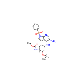 CC(C)(C)OC(=O)N[C@]1(C)CC[C@H](Nc2c(N)cnc3c2ccn3S(=O)(=O)c2ccccc2)C[C@H]1O[Si](C)(C)C(C)(C)C